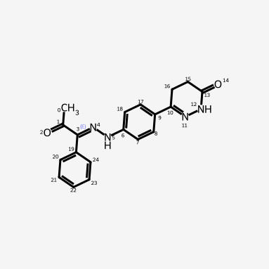 CC(=O)/C(=N/Nc1ccc(C2=NNC(=O)CC2)cc1)c1ccccc1